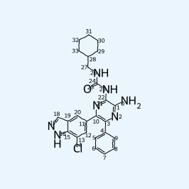 Nc1nc(-c2ccccc2)c(-c2cc(Cl)c3[nH]ncc3c2)nc1NC(=O)NCC1CCCCC1